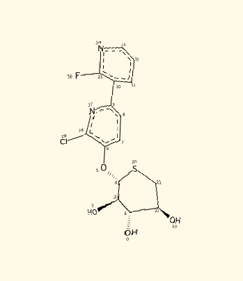 O[C@@H]1[C@@H](O)[C@H](Oc2ccc(-c3cccnc3F)nc2Cl)SC[C@H]1O